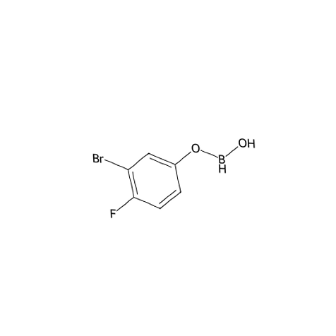 OBOc1ccc(F)c(Br)c1